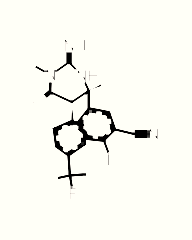 CN1C(=N)N[C@](C)(c2ccc(F)c(C#N)c2)[C@@H](c2ccc(C(F)(F)F)cc2)C1=O